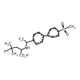 CC(C)(F)CC(NC(c1ccc(-c2ccc(S(C)(=O)=O)cc2)cc1)C(F)(F)F)C(=O)O